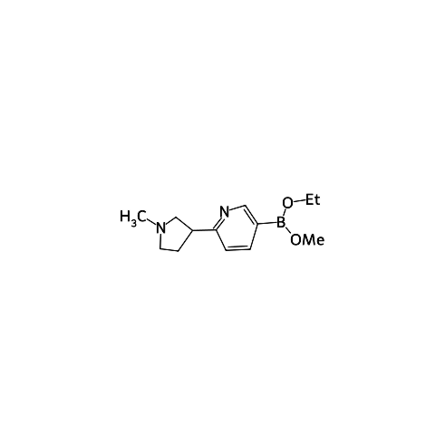 CCOB(OC)c1ccc(C2CCN(C)C2)nc1